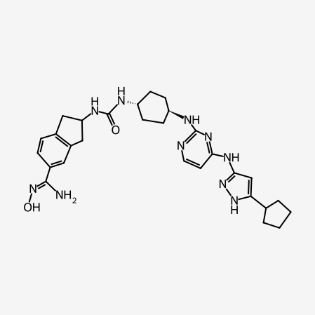 N/C(=N\O)c1ccc2c(c1)CC(NC(=O)N[C@H]1CC[C@H](Nc3nccc(Nc4cc(C5CCCC5)[nH]n4)n3)CC1)C2